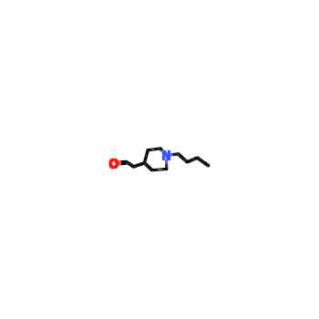 CCCCN1CCC(CC=O)CC1